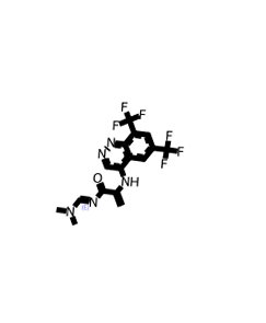 C=C(Nc1cnnc2c(C(F)(F)F)cc(C(F)(F)F)cc12)C(=O)/N=C/N(C)C